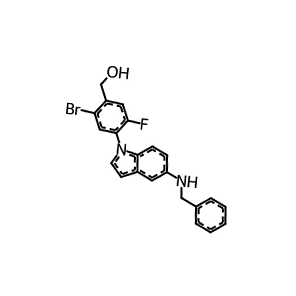 OCc1cc(F)c(-n2ccc3cc(NCc4ccccc4)ccc32)cc1Br